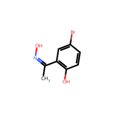 C/C(=N/O)c1cc(Br)ccc1O